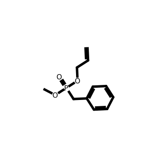 C=CCOP(=O)(Cc1ccccc1)OC